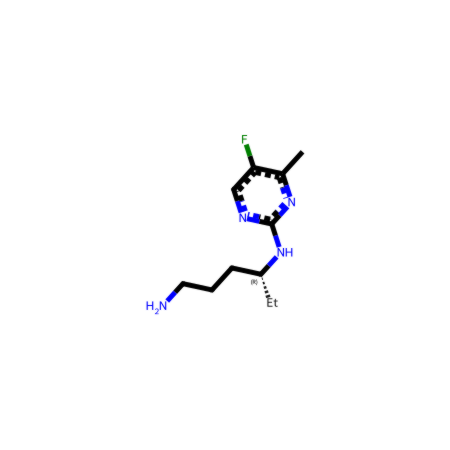 CC[C@H](CCCN)Nc1ncc(F)c(C)n1